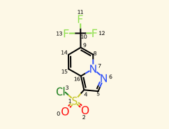 O=S(=O)(Cl)c1cnn2cc(C(F)(F)F)ccc12